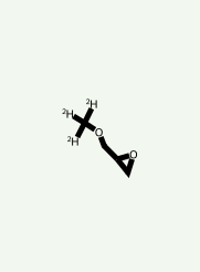 [2H]C([2H])([2H])OCC1CO1